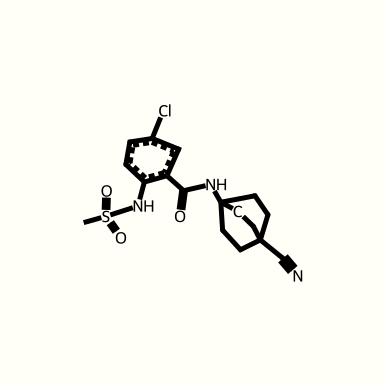 CS(=O)(=O)Nc1ccc(Cl)cc1C(=O)NC12CCC(C#N)(CC1)CC2